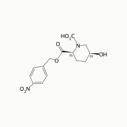 O=C(OCc1ccc([N+](=O)[O-])cc1)[C@@H]1CC[C@H](O)CN1C(=O)O